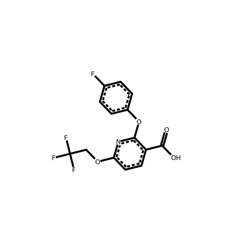 O=C(O)c1ccc(OCC(F)(F)F)nc1Oc1ccc(F)cc1